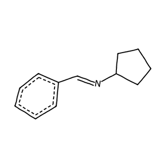 C(=NC1CCCC1)c1ccccc1